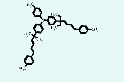 CCC(C=CC=Cc1ccc(C)cc1)(CC)c1ccc(N(c2ccc(C)cc2)c2ccc(C(C)(C)C=CC=Cc3ccc(C)cc3)cc2)cc1